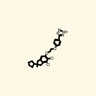 CC1(C2CCCC2)Cc2cc(OCCOc3ccc(-c4nn[nH]n4)cc3)c(Cl)c(Cl)c2C1